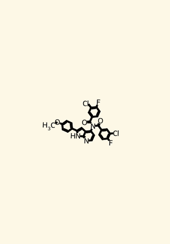 COc1ccc(-c2cc3c(N(C(=O)c4ccc(F)c(Cl)c4)C(=O)c4ccc(F)c(Cl)c4)ccnc3[nH]2)cc1